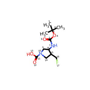 CC(C)(C)OC(=O)NC1CN(C(=O)O)CC1CF